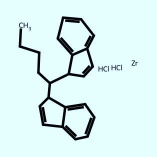 CCCCC(C1C=Cc2ccccc21)C1C=Cc2ccccc21.Cl.Cl.[Zr]